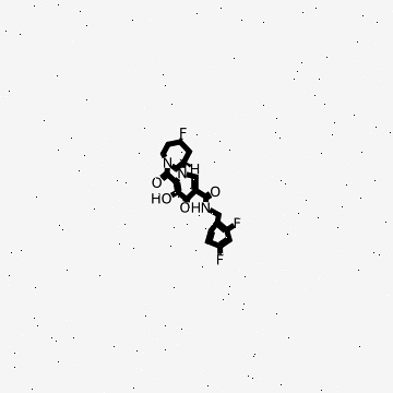 O=C(NCc1ccc(F)cc1F)c1cn2c(c(O)c1=O)C(=O)N1CC[C@@H](F)C[C@H]2C1